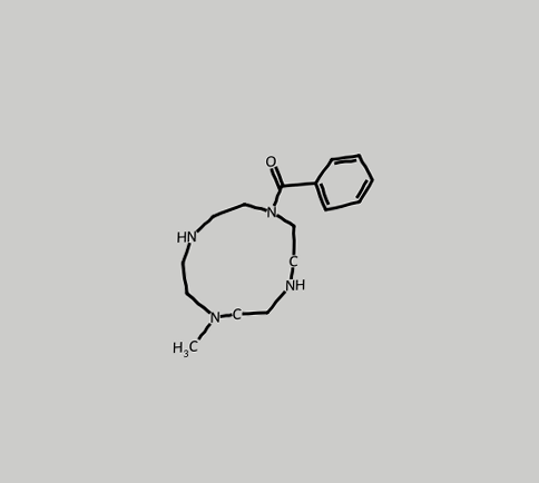 CN1CCNCCN(C(=O)c2ccccc2)CCNCC1